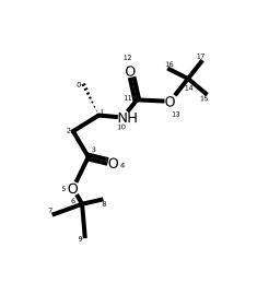 C[C@@H](CC(=O)OC(C)(C)C)NC(=O)OC(C)(C)C